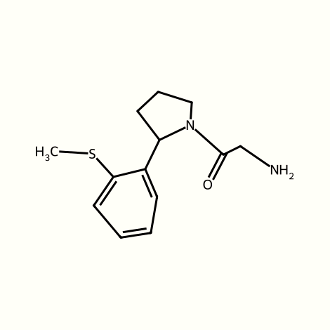 CSc1ccccc1C1CCCN1C(=O)CN